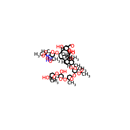 COC(=O)N[C@H]1[C@@H](C)O[C@@H](O[C@H]2C/C=C(\C)[C@H]3C=C[C@@H]4[C@@H](O[C@H]5C[C@@H](O[C@H]6CCC(O[C@H]7C[C@@H](O)C(O[C@H]8CC[C@@H](O)[C@H](C)O8)[C@H](C)O7)[C@H](C)O6)[C@@H](OC(C)=O)[C@H](C)O5)[C@@H](C)C[C@H](C)[C@H]4[C@]3(C)C(=O)C3=C(O)C4(CC(C=O)=C[C@H](O)[C@H]4/C=C/2C)OC3=O)C[C@]1(C)[N+](=O)[O-]